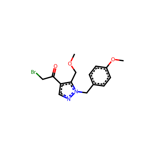 COCc1c(C(=O)CBr)cnn1Cc1ccc(OC)cc1